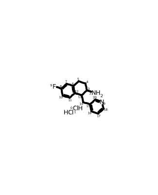 Cl.Cl.NC1CCc2cc(F)ccc2C1Cc1cccnc1